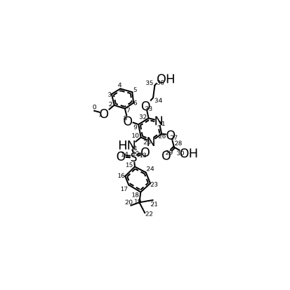 COc1ccccc1Oc1c(NS(=O)(=O)c2ccc(C(C)(C)C)cc2)nc(OC(=O)O)nc1OCCO